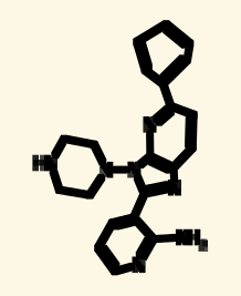 Nc1ncccc1-c1nc2ccc(-c3ccccc3)nc2n1N1CCNCC1